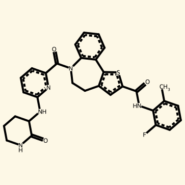 Cc1cccc(F)c1NC(=O)c1cc2c(s1)-c1ccccc1N(C(=O)c1cccc(NC3CCCNC3=O)n1)CC2